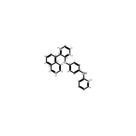 c1ccc(Nc2ccc(Oc3nccnc3-c3cccc4cnccc34)cc2)nc1